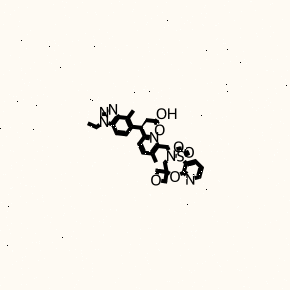 CCn1nnc2c(C)c([C@@H](CC(=O)O)c3ccc(C)c(CN4CC5(COC5)Oc5ncccc5S4(=O)=O)n3)ccc21